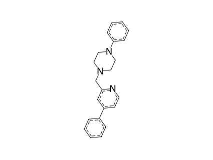 c1ccc(-c2ccnc(CN3CCN(c4ccccc4)CC3)c2)cc1